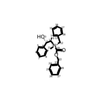 C[C@H]([C@@H](O)c1ccccc1)[N+](C)(Cc1ccccc1)C(=O)OCc1ccccc1